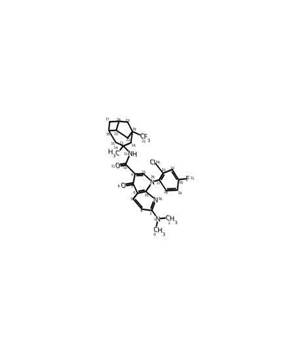 CN(C)c1ccc2c(=O)c(C(=O)NC3(C)CC4CC5CC(C(F)(F)F)(CC45)C3)cn(-c3ccc(F)cc3Cl)c2n1